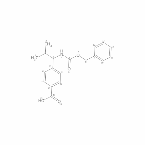 CC(C)C(NC(=O)OCc1ccccc1)c1ccc(C(=O)O)cc1